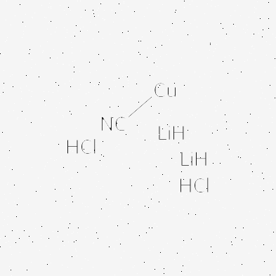 Cl.Cl.N#[C][Cu].[LiH].[LiH]